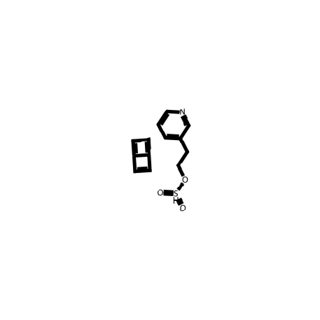 O=[SH](=O)OCCc1cccnc1.c1cc2ccc1-2